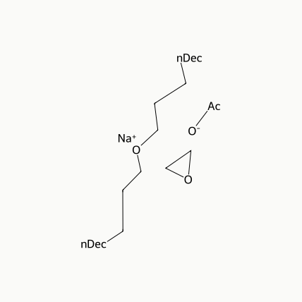 C1CO1.CC(=O)[O-].CCCCCCCCCCCCCOCCCCCCCCCCCCC.[Na+]